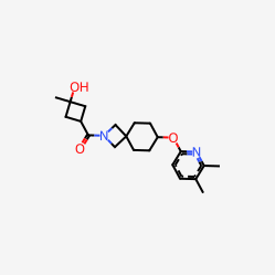 Cc1ccc(OC2CCC3(CC2)CN(C(=O)C2CC(C)(O)C2)C3)nc1C